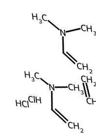 C=C.C=CN(C)C.C=CN(C)C.Cl.Cl